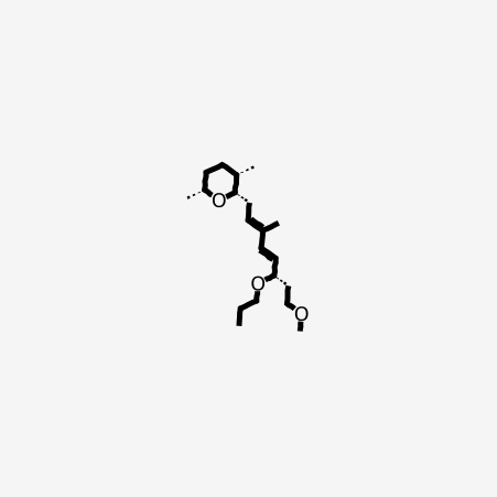 CCCO[C@H](/C=C/C(C)=C/C[C@@H]1O[C@H](C)CC[C@@H]1C)CCOC